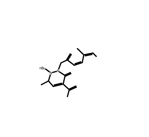 C=C(/C=C\C(C)=C/C)CN1C(=C)C(C(=C)C)=CC(C)N1CCCC